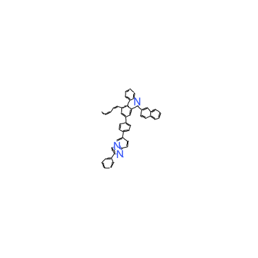 C/C=C\C=C/c1cc(-c2ccc(-c3ccc4nc(-c5ccccc5)cn4c3)cc2)cc2c(-c3ccc4ccccc4c3)nc3ccccc3c12